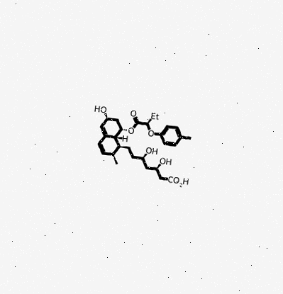 CC[C@@H](Oc1ccc(C)cc1)C(=O)O[C@H]1C[C@H](O)C=C2C=C[C@H](C)[C@H](CC[C@@H](O)C[C@@H](O)CC(=O)O)[C@H]21